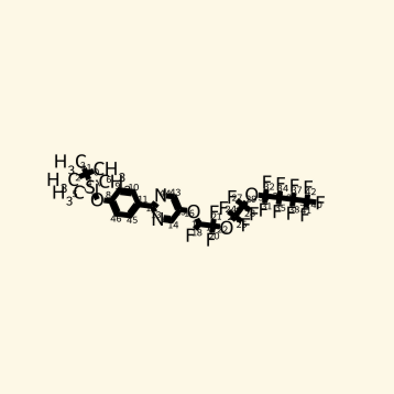 CC(C)(C)[Si](C)(C)Oc1ccc(-c2ncc(OC(F)C(F)(F)OC(F)(F)C(F)(F)OC(F)(F)C(F)(F)C(F)(F)C(F)(F)F)cn2)cc1